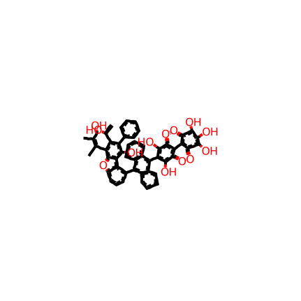 C=C(O)c1c(-c2ccccc2)c(O)c2c(oc3cccc(-c4c5ccccc5c(-c5c(O)c6ooc7c(O)c(O)c(O)c8ooc(c5O)c6-c78)c5ccccc45)c32)c1/C(C)=C(/C)CO